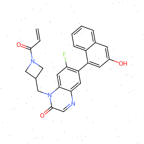 C=CC(=O)N1CC(Cn2c(=O)cnc3cc(-c4cc(O)cc5ccccc45)c(F)cc32)C1